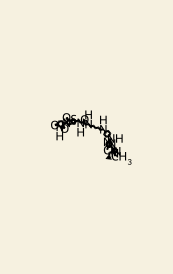 Cn1ncc(-c2nc(N[C@H]3CC[C@H](NCCCCCNCC(=O)NCc4cc5c(s4)C(=O)N(C4CCC(=O)NC4=O)C5)CC3)ncc2Cl)c1CC1CC1